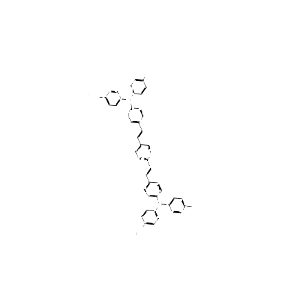 Cc1ccc(N(c2ccc(C)cc2)c2ccc(C=Cc3ccc(C=Cc4ccc(N(c5ccc(C)cc5)c5ccc(C)cc5)cc4)cc3)cc2)cc1